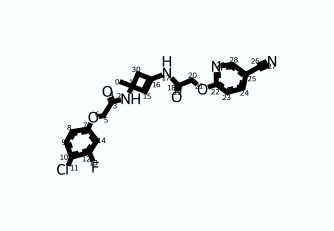 CC1(NC(=O)COc2ccc(Cl)c(F)c2)C=C(NC(=O)COc2ccc(C#N)cn2)C1